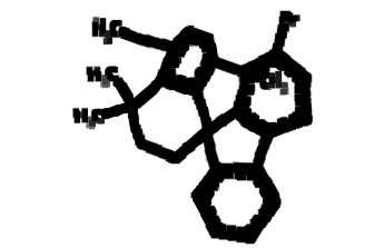 Cc1ccc(C)c2c1C(C)(C)CCC21c2ccccc2-c2ccc(Br)cc21